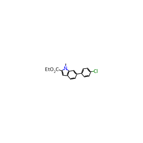 CCOC(=O)c1cc2ccc(-c3ccc(Cl)cc3)cc2n1C